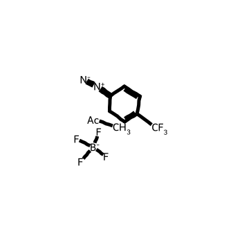 CC(C)=O.F[B-](F)(F)F.[N-]=[N+]=C1C=CC(C(F)(F)F)=CC1